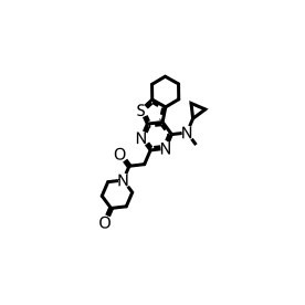 CN(c1nc(CC(=O)N2CCC(=O)CC2)nc2sc3c(c12)CCCC3)C1CC1